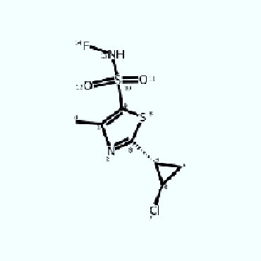 Cc1nc([C@@H]2C[C@H]2Cl)sc1S(=O)(=O)NF